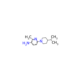 Cc1nc(N2CCC(C(C)C)CC2)ccc1N